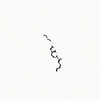 C=C/C=C\C=C(/C)c1ccc2cc(S(=O)(=O)CCCC)sc2n1